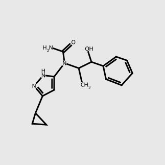 CC(C(O)c1ccccc1)N(C(N)=O)c1cc(C2CC2)n[nH]1